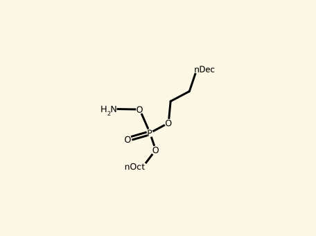 CCCCCCCCCCCCOP(=O)(ON)OCCCCCCCC